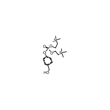 C[Si](C)(C)CCOP(=O)(OCC[Si](C)(C)C)Oc1ccc(CO)cc1